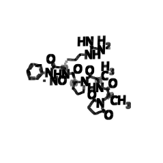 C[C@H](NC(=O)[C@H](C)N1C(=O)CCC1=O)C(=O)N1CCC[C@H]1C(=O)N[C@@H](CCCNC(=N)N)C(=O)N([N+]=O)c1ccccc1